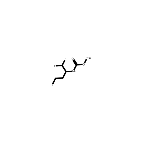 CC(C)(C)OC(=O)NC(CCI)C(F)F